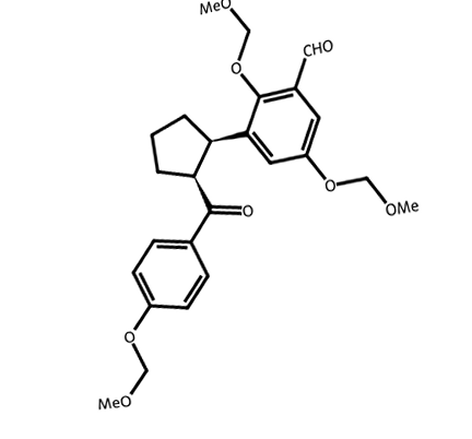 COCOc1ccc(C(=O)[C@H]2CCC[C@H]2c2cc(OCOC)cc(C=O)c2OCOC)cc1